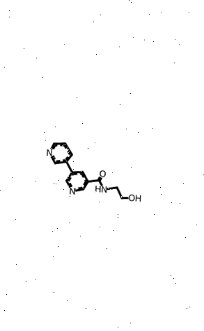 O=C(NCCO)c1cncc(-c2cccnc2)c1